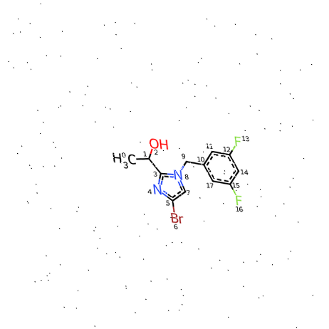 CC(O)c1nc(Br)cn1Cc1cc(F)cc(F)c1